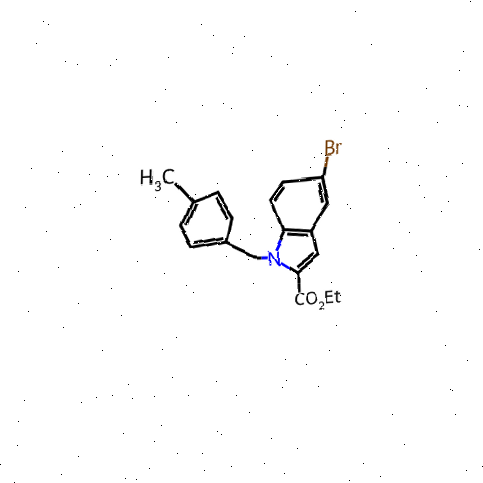 CCOC(=O)c1cc2cc(Br)ccc2n1Cc1ccc(C)cc1